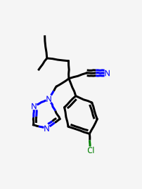 CC(C)CC(C#N)(Cn1cncn1)c1ccc(Cl)cc1